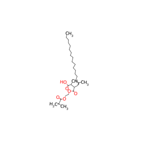 C=C(C)C(=O)OCCOC(=O)C(CC(C)CCCCCCCCCCCCCCCC)C(C)C(=O)O